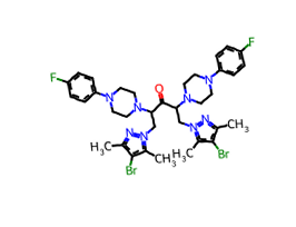 Cc1nn(CC(C(=O)C(Cn2nc(C)c(Br)c2C)N2CCN(c3ccc(F)cc3)CC2)N2CCN(c3ccc(F)cc3)CC2)c(C)c1Br